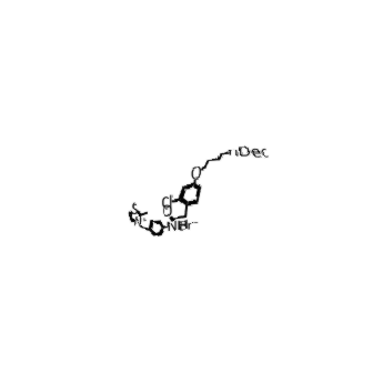 CCCCCCCCCCCCCCOc1ccc(CC(=O)Nc2ccc(C[n+]3ccsc3C)cc2)c(Cl)c1.[Br-]